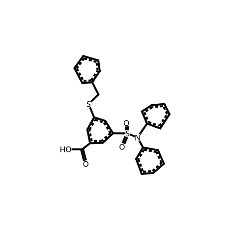 O=C(O)c1cc(SCc2ccccc2)cc(S(=O)(=O)N(c2ccccc2)c2ccccc2)c1